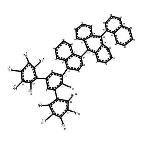 [2H]c1c([2H])c([2H])c(-c2cc(-c3c([2H])c([2H])c([2H])c([2H])c3[2H])c(F)c(-c3ccc(-c4c5ccccc5c(-c5cccc6ccccc56)c5ccccc45)c4ccccc34)c2)c([2H])c1[2H]